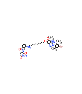 COc1cc2c(NC(C)c3cccc(Br)c3)nc(C)nc2cc1OCCCCCCCCCCNc1cccc2c1CN(C1CCC(=O)NC1=O)C2=O